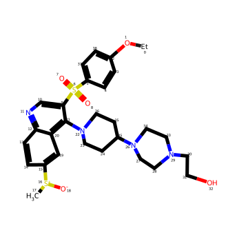 CCOc1ccc(S(=O)(=O)c2cnc3ccc([S+](C)[O-])cc3c2N2CCC(N3CCN(CCO)CC3)CC2)cc1